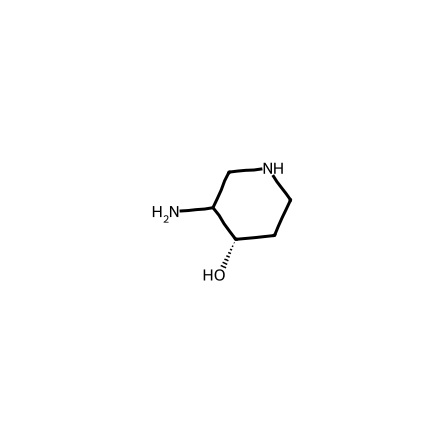 NC1CNCC[C@@H]1O